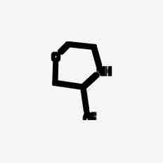 CC(=O)C1COCCN1